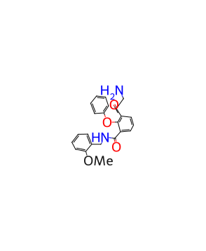 COc1ccccc1CNC(=O)c1cccc(C(=O)CN)c1Oc1ccccc1